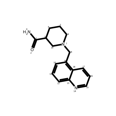 NC(=O)C1CCCN(Cc2cccc3ncccc23)C1